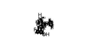 C#Cc1c(F)ccc2cc(O)cc(-c3nc4c5c(nc(OC[C@]67CC(=C)CN6C[C@H](F)C7)nc5c3F)N3C[C@@H](CC)NC[C@H]3CO4)c12